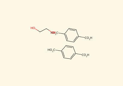 O=C(O)c1ccc(C(=O)O)cc1.O=C(O)c1ccc(C(=O)O)cc1.OCCO